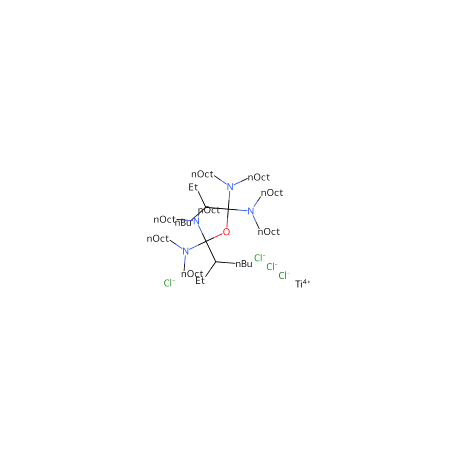 CCCCCCCCN(CCCCCCCC)C(OC(C(CC)CCCC)(N(CCCCCCCC)CCCCCCCC)N(CCCCCCCC)CCCCCCCC)(C(CC)CCCC)N(CCCCCCCC)CCCCCCCC.[Cl-].[Cl-].[Cl-].[Cl-].[Ti+4]